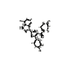 Cc1cccc2c(-c3nc(C(=O)N4CCN(C)CC4)c(-c4ccc(F)cc4)s3)n[nH]c12